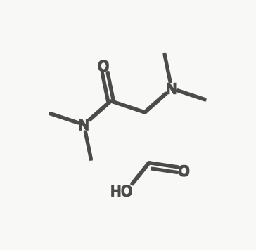 CN(C)CC(=O)N(C)C.O=CO